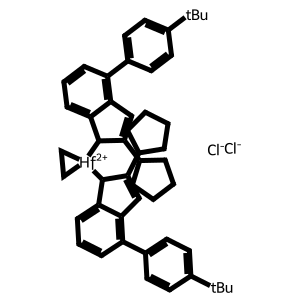 CC(C)(C)c1ccc(-c2cccc3c2C=C(C2CCCC2)[CH]3[Hf+2]2([CH]3C(C4CCCC4)=Cc4c(-c5ccc(C(C)(C)C)cc5)cccc43)[CH2][CH2]2)cc1.[Cl-].[Cl-]